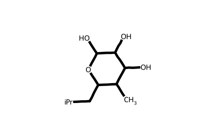 CC(C)CC1OC(O)C(O)C(O)C1C